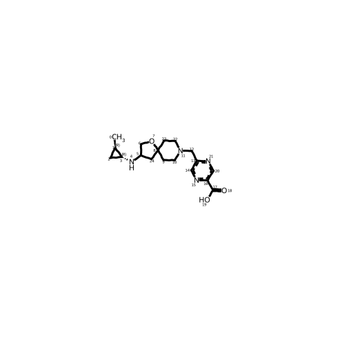 C[C@@H]1C[C@H]1NC1COC2(CCN(Cc3cnc(C(=O)O)cn3)CC2)C1